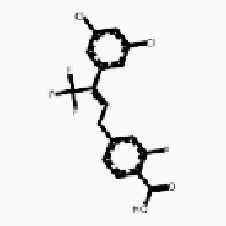 O=C(O)c1ccc(CC=C(c2cc(Cl)cc(Cl)c2)C(F)(F)F)cc1F